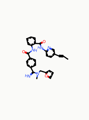 CC#Cc1ccc(NC(=O)c2ccccc2NC(=O)c2ccc(C(=N)N(C)Cc3ccco3)cc2)nc1